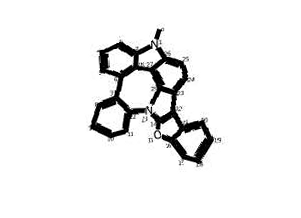 Cn1c2cccc3c4ccccc4n4c5oc6ccccc6c5c5ccc1c(c32)c54